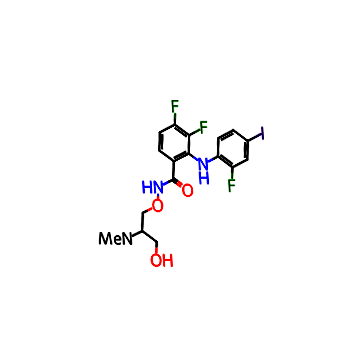 CNC(CO)CONC(=O)c1ccc(F)c(F)c1Nc1ccc(I)cc1F